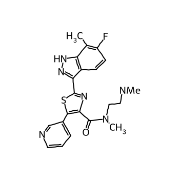 CNCCN(C)C(=O)c1nc(-c2n[nH]c3c(C)c(F)ccc23)sc1-c1cccnc1